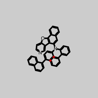 c1ccc(-c2ccccc2N(c2ccc(-c3cccc4ccccc34)cc2)c2cc3ccccc3c3oc4ccncc4c23)cc1